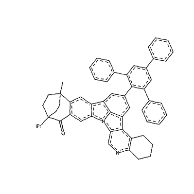 CC(C)C12CCC(C)(CC1)c1cc3c4cc(-c5c(-c6ccccc6)cc(-c6ccccc6)cc5-c5ccccc5)cc5c6c7c(ncc6n(c3cc1C2=O)c45)CCCC7